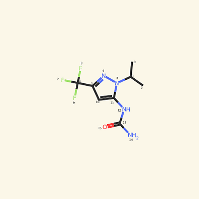 CC(C)n1nc(C(F)(F)F)cc1NC(N)=O